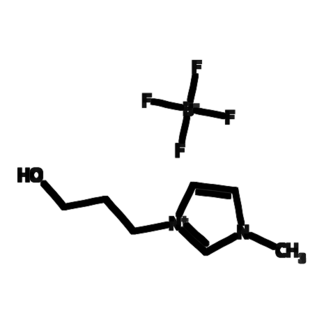 Cn1cc[n+](CCCO)c1.F[B-](F)(F)F